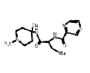 CN1CCC(C#N)(NC(=O)C(CC(C)(C)C)NC(=O)c2cnccn2)CC1